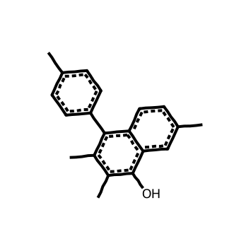 Cc1ccc(-c2c(C)c(C)c(O)c3cc(C)ccc23)cc1